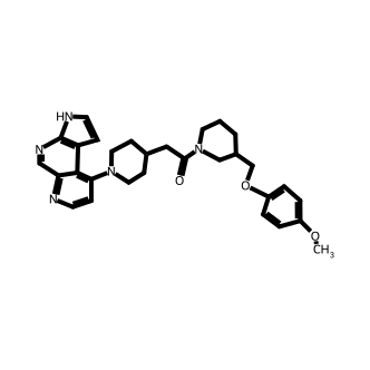 COc1ccc(OCC2CCCN(C(=O)CC3CCN(c4ccnc5cnc6[nH]ccc6c45)CC3)C2)cc1